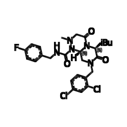 CCC(C)[C@H]1C(=O)N(Cc2ccc(Cl)cc2Cl)C[C@H]2N1C(=O)CN(C)N2C(=O)NCc1ccc(F)cc1